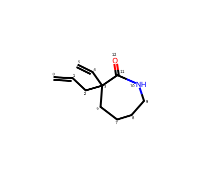 C=CCC1(C=C)CCCCNC1=O